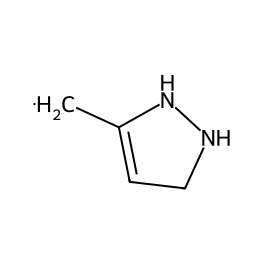 [CH2]C1=CCNN1